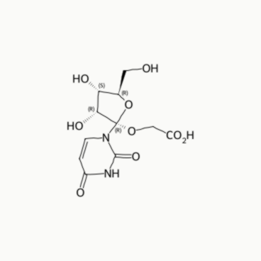 O=C(O)CO[C@@]1(n2ccc(=O)[nH]c2=O)O[C@H](CO)[C@@H](O)[C@H]1O